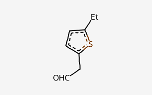 CCc1ccc(CC=O)s1